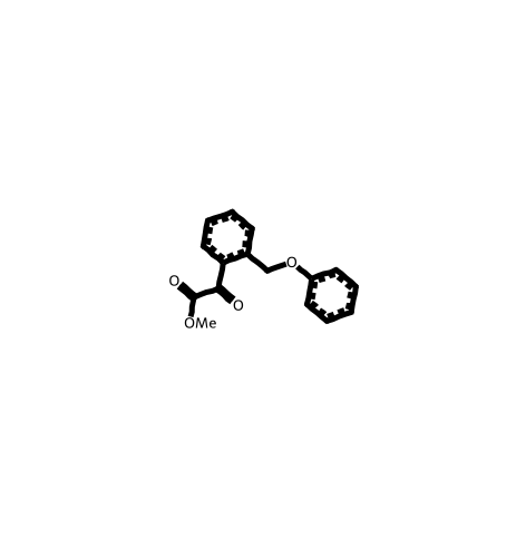 COC(=O)C(=O)c1ccccc1COc1ccccc1